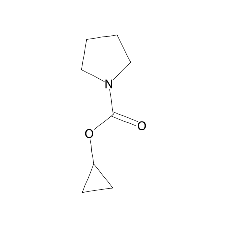 O=C(OC1CC1)N1CCCC1